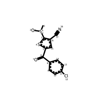 C[S+]([O-])c1sc(C(=O)c2ccc(Cl)cc2)cc1C#N